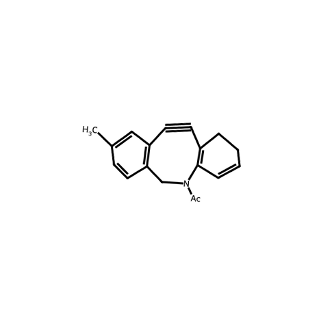 CC(=O)N1Cc2ccc(C)cc2C#CC2=C1C=CCC2